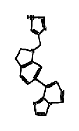 c1cn2cncc(-c3ccc4c(c3)N(Cc3c[nH]cn3)CC4)c2n1